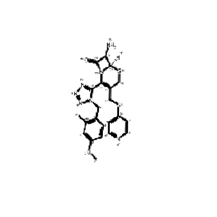 COc1ccc(Cn2nnnc2C2=C(CSc3ccncc3)CS[C@@H]3[C@H](N)C(=O)N23)c(C)c1